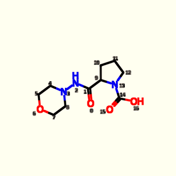 O=C(NN1CCOCC1)C1CCCN1C(=O)O